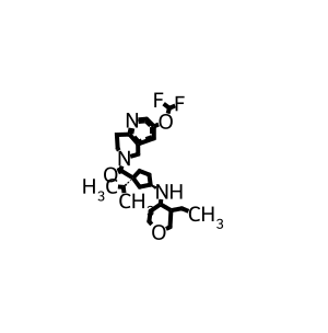 CCC1COCCC1N[C@@H]1CC[C@@](C(=O)N2CCc3ncc(OC(F)F)cc3C2)(C(C)C)C1